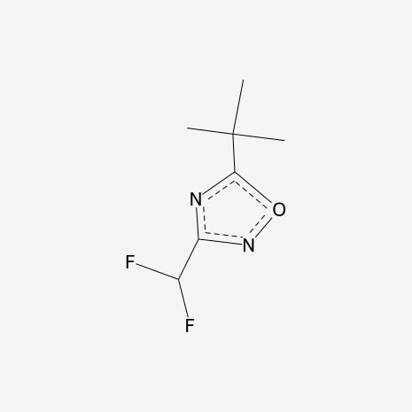 CC(C)(C)c1nc(C(F)F)no1